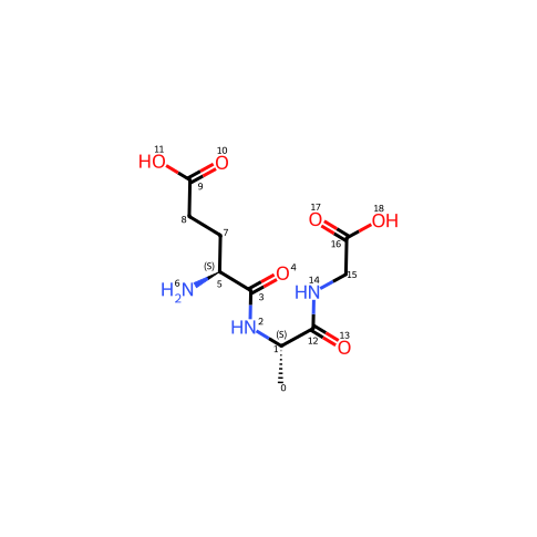 C[C@H](NC(=O)[C@@H](N)CCC(=O)O)C(=O)NCC(=O)O